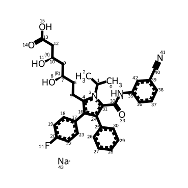 CC(C)n1c(CC[C@@H](O)C[C@@H](O)CC(=O)O)c(-c2ccc(F)cc2)c(-c2ccccc2)c1C(=O)Nc1cccc(C#N)c1.[Na]